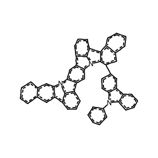 c1ccc(-n2c3ccccc3c3cc(-c4cc5ccccc5c5c6cccc7c8cc9c(cc8n(c45)c76)c4cccc5c6cc7ccccc7cc6n9c54)ccc32)cc1